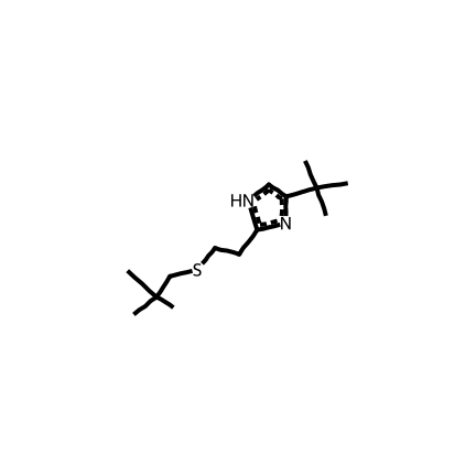 CC(C)(C)CSCCc1nc(C(C)(C)C)c[nH]1